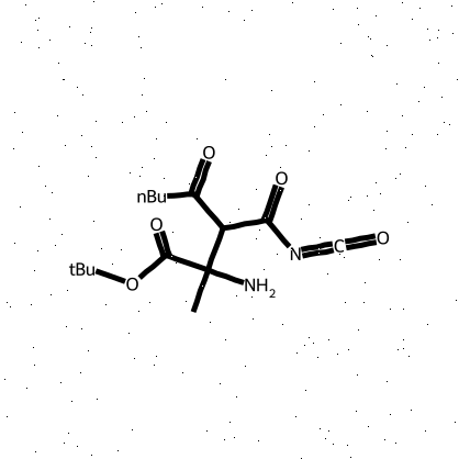 CCCCC(=O)C(C(=O)N=C=O)C(C)(N)C(=O)OC(C)(C)C